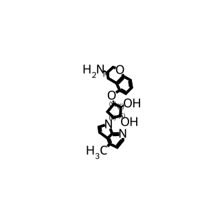 Cc1ccnc2c1ccn2[C@@H]1C[C@H](Oc2cccc3c2C[C@@H](N)CO3)[C@@H](O)[C@H]1O